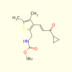 Cc1sc(CNC(=O)OC(C)(C)C)c(/C=C/C(=O)C2CC2)c1C